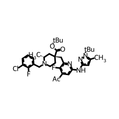 CC(=O)c1cc(Nc2cc(C)n(C(C)(C)C)n2)nc(C[C@@]2(C(=O)OC(C)(C)C)CCN(Cc3cccc(Cl)c3F)[C@H](C)C2)c1F